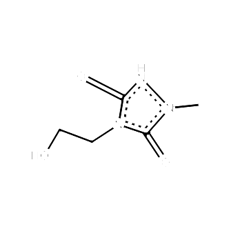 Cn1[nH]c(=O)n(CCO)c1=O